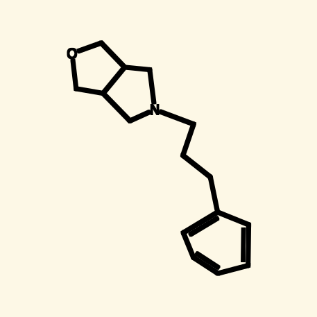 c1ccc(CCCN2CC3COCC3C2)cc1